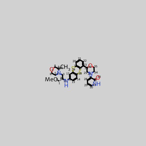 COC[C@H](CN1CCOC[C@H]1C)Nc1ccc2c(c1)Sc1cccc(C3CN(c4ccc[nH]c4=O)CCO3)c1S2